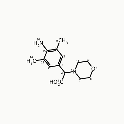 Cc1cc(C(C(=O)O)N2CCOCC2)cc(C)c1N